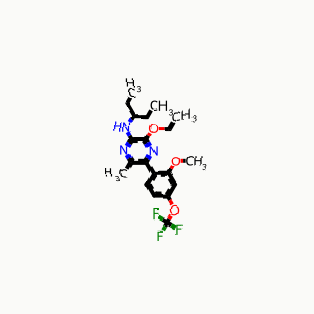 CCOc1nc(-c2ccc(OC(F)(F)F)cc2OC)c(C)nc1NC(CC)CC